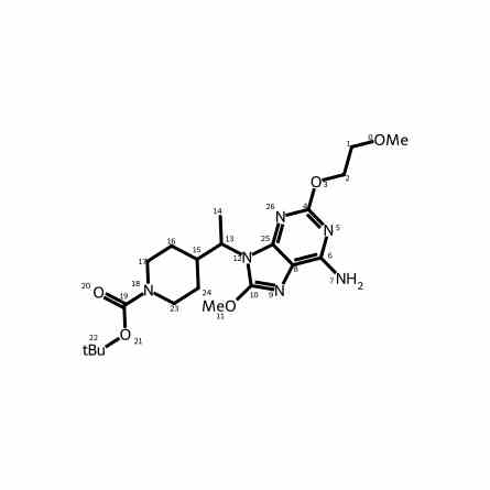 COCCOc1nc(N)c2nc(OC)n(C(C)C3CCN(C(=O)OC(C)(C)C)CC3)c2n1